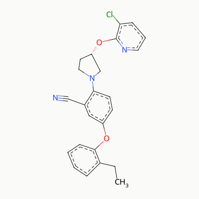 CCc1ccccc1Oc1ccc(N2CC[C@H](Oc3ncccc3Cl)C2)c(C#N)c1